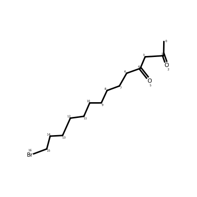 CC(=O)CC(=O)CCCCCCCCCCBr